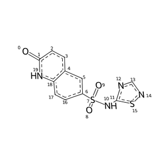 O=c1ccc2cc(S(=O)(=O)Nc3ncns3)ccc2[nH]1